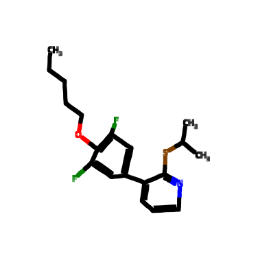 CCCCCOc1c(F)cc(-c2cccnc2SC(C)C)cc1F